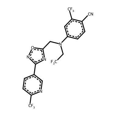 N#Cc1ccc(N(Cc2nc(-c3ccc(C(F)(F)F)nc3)no2)CC(F)(F)F)cc1C(F)(F)F